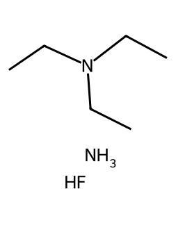 CCN(CC)CC.F.N